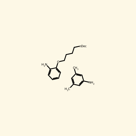 CCCCCCCCCCCCCCOc1ccccc1N.Cc1cc(C)cc(N)c1